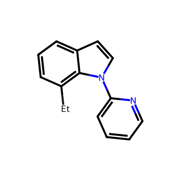 CCc1cccc2ccn(-c3ccccn3)c12